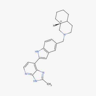 Cc1nc2c(-c3cc4cc(CN5CCC6CCCC[C@H]6C5)ccc4[nH]3)ccnc2[nH]1